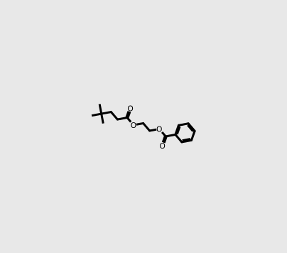 CC(C)(C)CCC(=O)OCCOC(=O)c1ccccc1